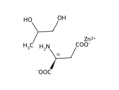 CC(O)CO.N[C@@H](CC(=O)[O-])C(=O)[O-].[Zn+2]